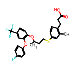 Cc1cc(SCCC(C)Oc2ccc(C(F)(F)F)cc2Oc2ccc(F)cc2)ccc1CCC(=O)O